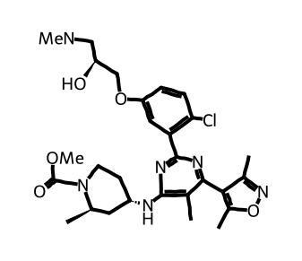 CNC[C@H](O)COc1ccc(Cl)c(-c2nc(N[C@H]3CCN(C(=O)OC)[C@H](C)C3)c(C)c(-c3c(C)noc3C)n2)c1